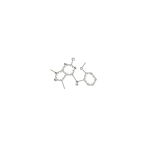 COc1ccccc1Nc1nc(Cl)nc2c1c(C)nn2C